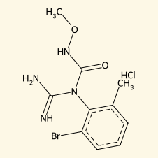 CONC(=O)N(C(=N)N)c1c(C)cccc1Br.Cl